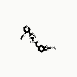 CCOc1ccncc1-c1nnc(NC(=O)Cc2ccc3nc(N)sc3c2)s1